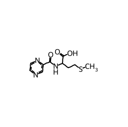 CSCCC(NC(=O)c1cnccn1)C(=O)O